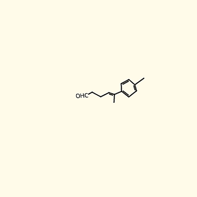 C/C(=C\CCC=O)c1ccc(C)cc1